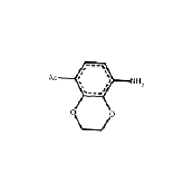 CC(=O)c1ccc(N)c2c1OCCO2